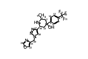 C[C@H]1CC(O)(c2ccc(C(F)(F)F)cc2)C[C@@H](c2cn(Cc3cocn3)nn2)N1